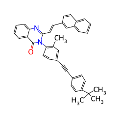 Cc1cc(C#Cc2ccc(C(C)(C)C)cc2)ccc1-n1c(C=Cc2ccc3ccccc3c2)nc2ccccc2c1=O